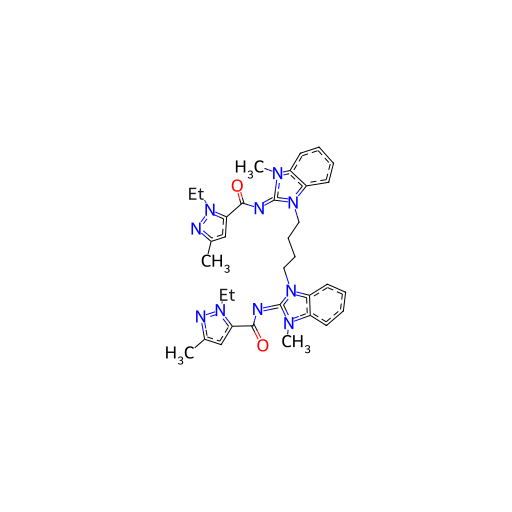 CCn1nc(C)cc1C(=O)/N=c1\n(C)c2ccccc2n1CCCCn1/c(=N/C(=O)c2cc(C)nn2CC)n(C)c2ccccc21